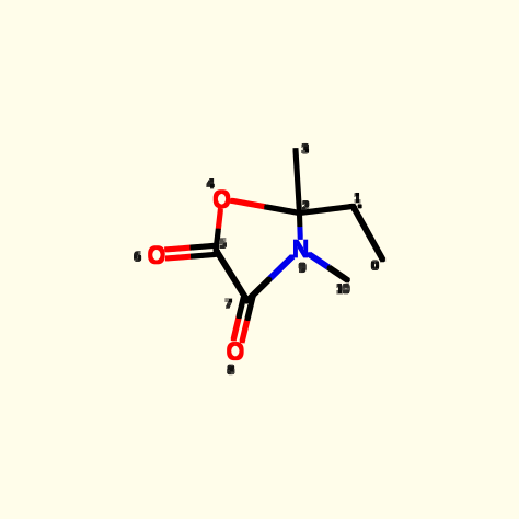 C[CH]C1(C)OC(=O)C(=O)N1C